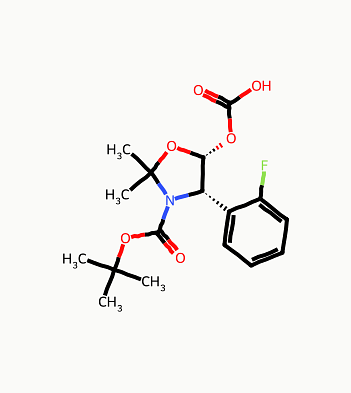 CC(C)(C)OC(=O)N1[C@@H](c2ccccc2F)[C@@H](OC(=O)O)OC1(C)C